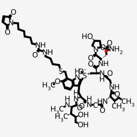 CC[C@H](C)[C@@H]1NC(=O)CNC(=O)[C@@H](NC(=O)[C@@H](NC)[C@@H](C)[C@@H](O)CO)Cc2c([nH]c3c(CSCCCCNC(=O)NCCCCCCN4C(=O)C=CC4=O)c(OC)ccc23)[S+]([O-])C[C@@H](C(=O)N[C@@H](CC(N)=O)C(=O)N2C[C@H](O)C[C@H]2C=O)NC(=O)CNC1=O